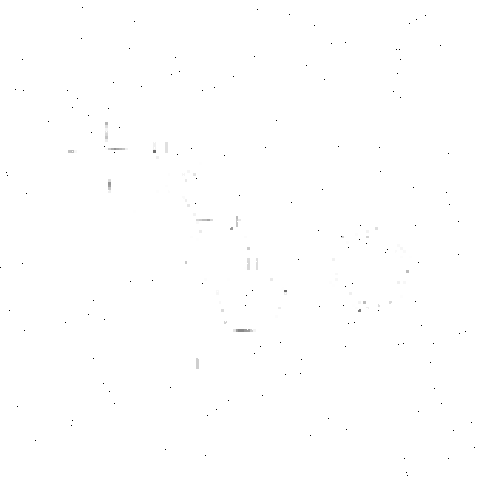 CC(C)(C)NS(=O)(=O)c1nc2n(n1)[C@H](c1ccccc1)C[C@@H]2F